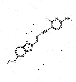 COc1ccc2oc(/C=C/C#Cc3ccc(N)nc3F)cc2c1